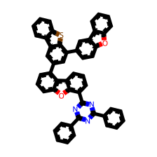 c1ccc(-c2nc(-c3ccccc3)nc(-c3cccc4c3oc3cccc(-c5cc(-c6ccc7oc8ccccc8c7c6)c6sc7ccccc7c6c5)c34)n2)cc1